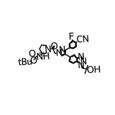 CC(C)(O)Cn1nnc2cc(-c3cn(CC(=O)N4CCC[C@@H](NC(=O)OC(C)(C)C)C4)nc3-c3ccc(C#N)c(F)c3)ccc21